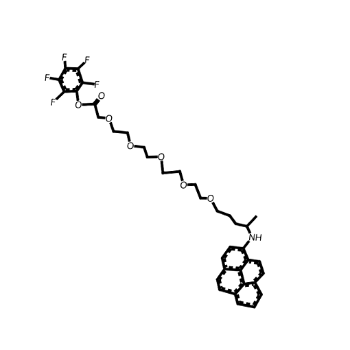 CC(CCCOCCOCCOCCOCCOCC(=O)Oc1c(F)c(F)c(F)c(F)c1F)Nc1ccc2ccc3cccc4ccc1c2c34